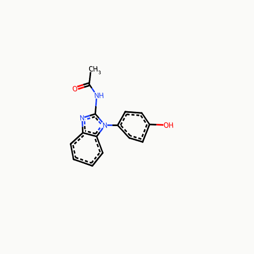 CC(=O)Nc1nc2ccccc2n1-c1ccc(O)cc1